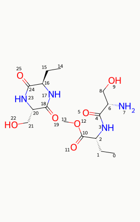 CC[C@@H](NC(=O)[C@@H](N)CO)C(=O)OC.CC[C@H]1NC(=O)[C@H](CO)NC1=O